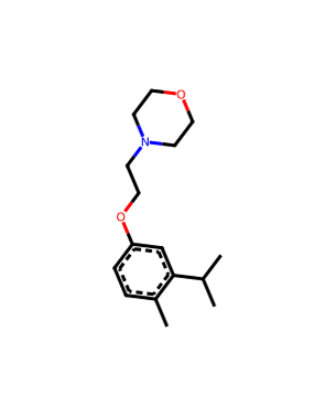 Cc1ccc(OCCN2CCOCC2)cc1C(C)C